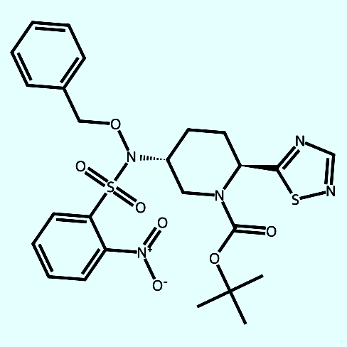 CC(C)(C)OC(=O)N1C[C@H](N(OCc2ccccc2)S(=O)(=O)c2ccccc2[N+](=O)[O-])CC[C@H]1c1ncns1